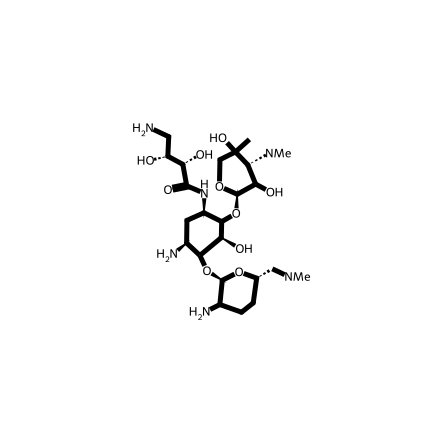 CNC[C@@H]1CCC(N)[C@@H](OC2[C@H](O)C(O[C@H]3OCC(C)(O)[C@H](NC)C3O)[C@H](NC(=O)[C@@H](O)[C@H](O)CN)C[C@@H]2N)O1